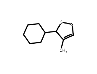 CC1=CSSC1C1CCCCC1